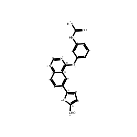 NC(=O)Nc1cccc(Oc2ncnc3ccc(-c4ccc(C=O)o4)cc23)c1